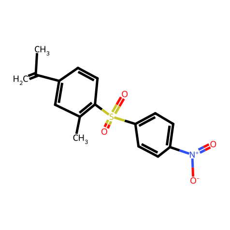 C=C(C)c1ccc(S(=O)(=O)c2ccc([N+](=O)[O-])cc2)c(C)c1